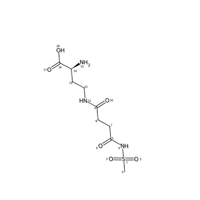 CS(=O)(=O)NC(=O)CCC(=O)NCC[C@H](N)C(=O)O